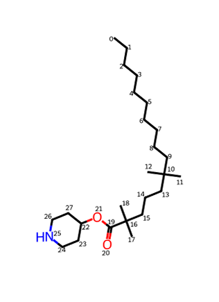 CCCCCCCCCCC(C)(C)CCCC(C)(C)C(=O)OC1CCNCC1